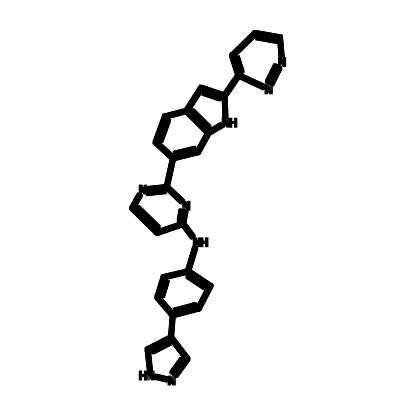 c1cnnc(-c2cc3ccc(-c4nccc(Nc5ccc(-c6cn[nH]c6)cc5)n4)cc3[nH]2)c1